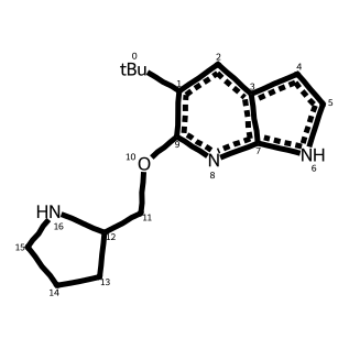 CC(C)(C)c1cc2cc[nH]c2nc1OCC1CCCN1